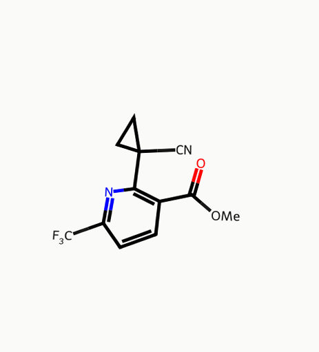 COC(=O)c1ccc(C(F)(F)F)nc1C1(C#N)CC1